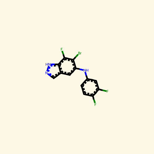 Fc1ccc(Nc2cc3cn[nH]c3c(F)c2Br)cc1F